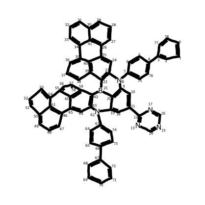 c1ccc(-c2ccc(N3c4cc(-c5ncncn5)cc5c4B(c4c3cc3c6cccc7cccc(c8cccc4c83)c76)c3c(cc4c6cccc7cccc(c8cccc3c84)c76)N5c3ccc(-c4ccccc4)cc3)cc2)cc1